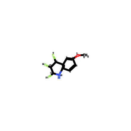 COc1ccc2c(c1)C(F)C(F)C(F)N2